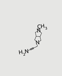 CN1CC2CN(CC#CN)CC2C1